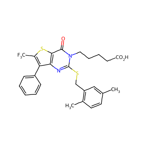 Cc1ccc(C)c(CSc2nc3c(-c4ccccc4)c(C(F)(F)F)sc3c(=O)n2CCCCC(=O)O)c1